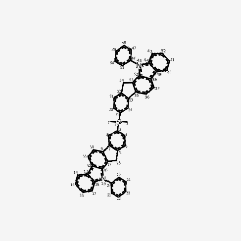 C[Si](C)(c1ccc2c(c1)-c1ccc3c4ccccc4n(-c4ccccc4)c3c1C2)c1ccc2c(c1)-c1ccc3c4ccccc4n(-c4ccccc4)c3c1C2